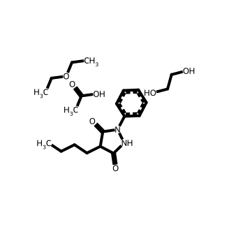 CC(=O)O.CCCCC1C(=O)NN(c2ccccc2)C1=O.CCOCC.OCCO